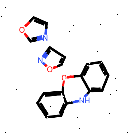 c1ccc2c(c1)Nc1ccccc1O2.c1cnoc1.c1cocn1